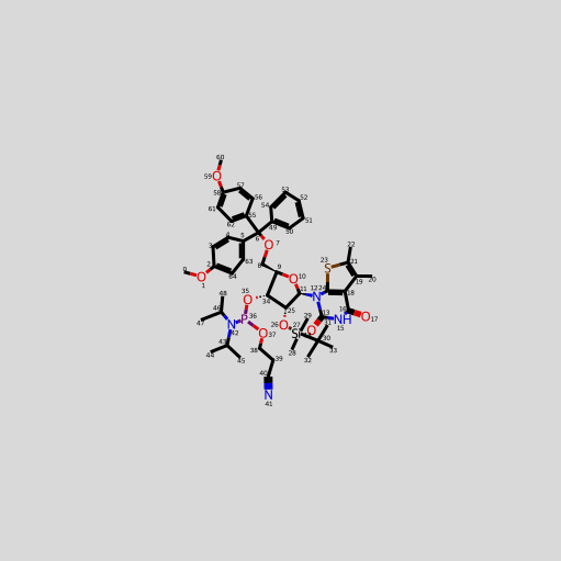 COc1ccc(C(OC[C@H]2O[C@@H](n3c(=O)[nH]c(=O)c4c(C)c(C)sc43)[C@H](O[Si](C)(C)C(C)(C)C)[C@@H]2OP(OCCC#N)N(C(C)C)C(C)C)(c2ccccc2)c2ccc(OC)cc2)cc1